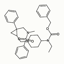 CCN(C(=O)OCc1ccccc1)C1CCN(CC2CC2(CN(C)S(=O)(=O)c2ccccc2)c2ccccc2)CC1